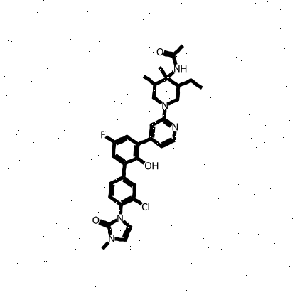 CCC1CN(c2cc(-c3cc(F)cc(-c4ccc(-n5ccn(C)c5=O)c(Cl)c4)c3O)ccn2)CC(C)C1(C)NC(C)=O